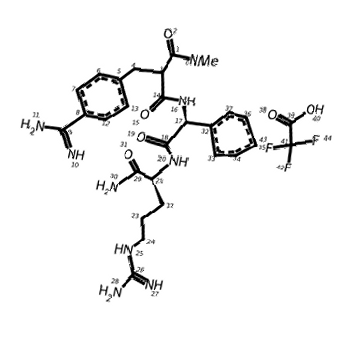 CNC(=O)C(Cc1ccc(C(=N)N)cc1)C(=O)N[C@H](C(=O)N[C@@H](CCCNC(=N)N)C(N)=O)c1ccccc1.O=C(O)C(F)(F)F